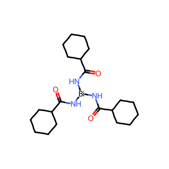 O=C([NH][Bi]([NH]C(=O)C1CCCCC1)[NH]C(=O)C1CCCCC1)C1CCCCC1